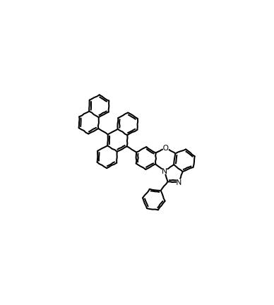 c1ccc(-c2nc3cccc4c3n2-c2ccc(-c3c5ccccc5c(-c5cccc6ccccc56)c5ccccc35)cc2O4)cc1